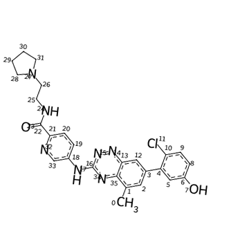 Cc1cc(-c2cc(O)ccc2Cl)cc2nnc(Nc3ccc(C(=O)NCCN4CCCC4)nc3)nc12